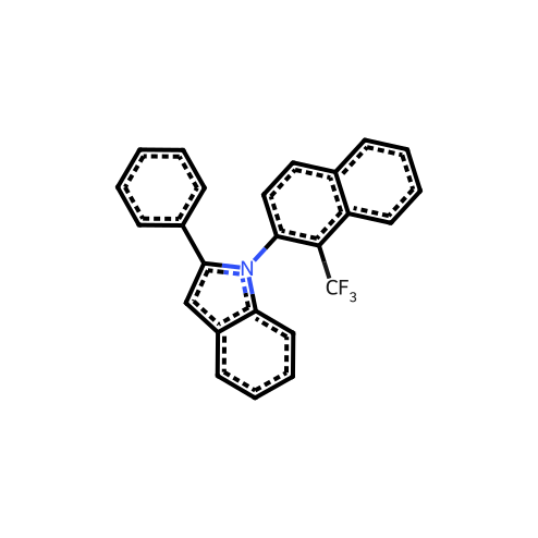 FC(F)(F)c1c(-n2c(-c3ccccc3)cc3ccccc32)ccc2ccccc12